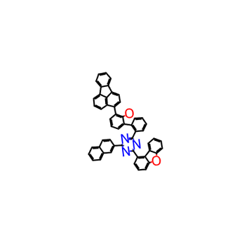 c1ccc2c(c1)-c1cccc3c(-c4cccc5c4oc4cccc(-c6nc(-c7ccc8ccccc8c7)nc(-c7cccc8oc9ccccc9c78)n6)c45)ccc-2c13